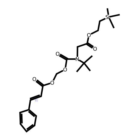 CC(C)(C)N(CC(=O)OCC[Si](C)(C)C)C(=O)OCOC(=O)/C=C/c1ccccc1